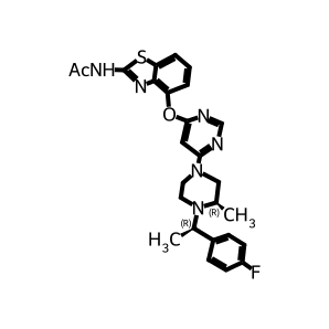 CC(=O)Nc1nc2c(Oc3cc(N4CCN([C@H](C)c5ccc(F)cc5)[C@H](C)C4)ncn3)cccc2s1